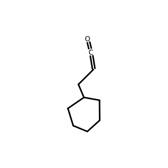 O=C=CCC1CCCCC1